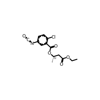 CCOC(=O)C[C@H](C)OC(=O)c1cc(N=C=O)ccc1Cl